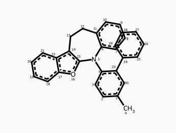 Cc1ccc(N2c3ccccc3CCc3c2oc2ccccc32)c(-c2ccccc2)c1